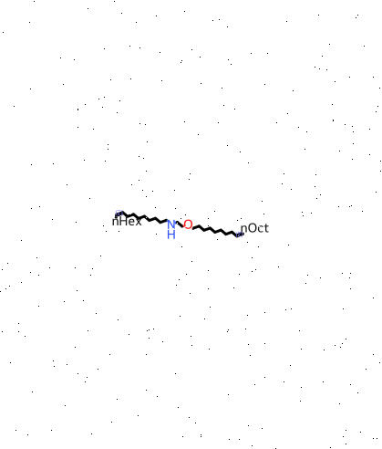 CCCCCC/C=C\CCCCCCCCNCCOCCCCCCCC/C=C\CCCCCCCC